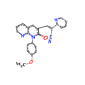 COc1ccc(-n2c(=O)c(C=C(C#N)c3ccccn3)cc3cccnc32)cc1